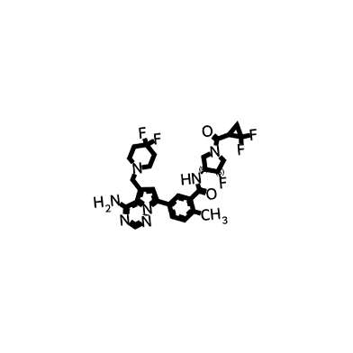 Cc1ccc(-c2cc(CN3CCC(F)(F)CC3)c3c(N)ncnn23)cc1C(=O)N[C@@H]1CN(C(=O)C2CC2(F)F)C[C@@H]1F